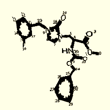 COC(=O)C(Cn1ccn(Cc2cccc(F)c2)c1=O)NC(=O)OCc1ccccc1